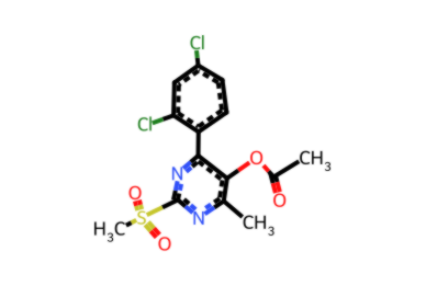 CC(=O)Oc1c(C)nc(S(C)(=O)=O)nc1-c1ccc(Cl)cc1Cl